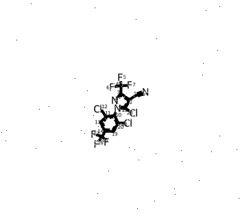 N#Cc1c(C(F)(F)F)nn(-c2c(Cl)cc(C(F)(F)F)cc2Cl)c1Cl